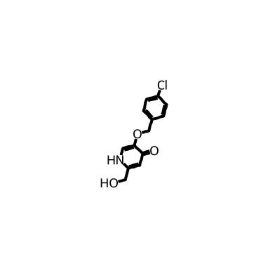 O=c1cc(CO)[nH]cc1OCc1ccc(Cl)cc1